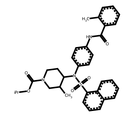 Cc1ccccc1C(=O)Nc1ccc(N(C2CCN(C(=O)OC(C)C)CC2C)S(=O)(=O)c2cccc3ccccc23)cc1